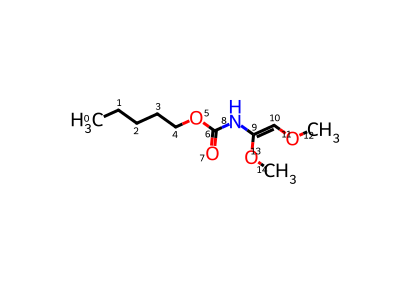 CCCCCOC(=O)NC(=COC)OC